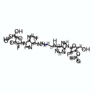 O=[PH](S)O[C@H]1[C@@H](F)[C@H](n2cnc3c(NC/C=C/CNc4ncnc5c4ncn5[C@@H]4OC(CO)[C@@H](O[PH](=O)I)[C@H]4F)ncnc32)O[C@@H]1CO